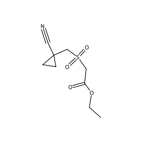 CCOC(=O)CS(=O)(=O)CC1(C#N)CC1